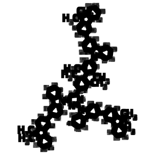 Cc1cc(-c2cc(-n3c4ccccc4c4cc(-c5ccc6c(c5)-c5ccccc5C6(C)C)ccc43)nc(-n3c4ccccc4c4cc(-c5ccc6c(c5)-c5ccccc5C6(C)C)ccc43)n2)cc(C)c1-c1c(C)cc(-n2c3ccccc3c3cc(-c4ccc5c(c4)-c4ccccc4C5(C)C)ccc32)cc1C